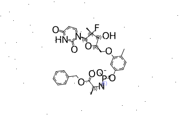 Cc1ccc(O/[P+]([O-])=N/[C@@H](C)C(=O)OCc2ccccc2)cc1OC[C@H]1O[C@@H](n2ccc(=O)[nH]c2=O)[C@](C)(F)[C@@H]1O